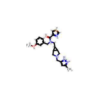 Cc1cc(CN2CC3C(C2)C3CN(Cc2cccc(OC(F)(F)F)c2)C(=O)c2cscn2)[nH]n1